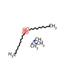 CCCCCCCCCCCCOS(=O)(=O)OCCCCCCCCCCCC.CCN(CC)CC